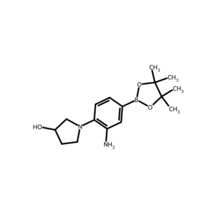 CC1(C)OB(c2ccc(N3CCC(O)C3)c(N)c2)OC1(C)C